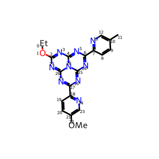 CCOC1=NC2=NC(c3ccc(C)cn3)=NC3=NC(c4ccc(OC)cn4)=NC(=N1)N23